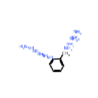 Cc1ccccc1.N.N.N.N.N.N.N.N.N.N.N